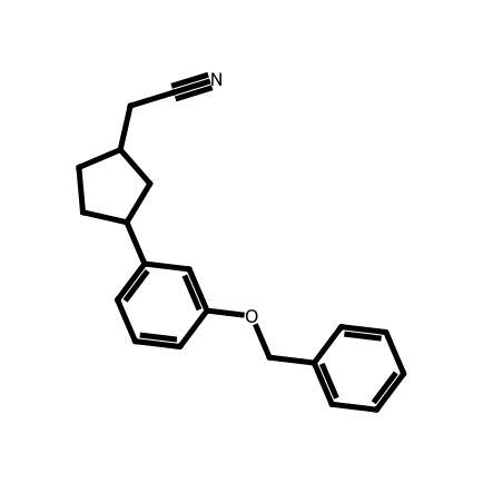 N#CCC1CCC(c2cccc(OCc3ccccc3)c2)C1